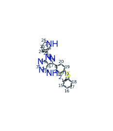 Nc1ncnc2c1c(-c1ccc(Sc3ccccc3)cc1)nn2C1CC2CNC1C2